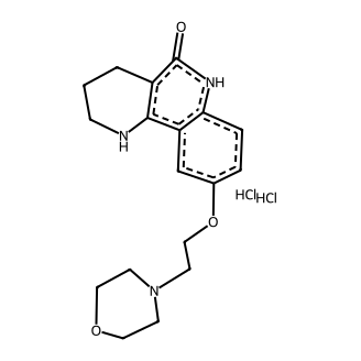 Cl.Cl.O=c1[nH]c2ccc(OCCN3CCOCC3)cc2c2c1CCCN2